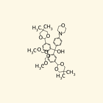 COCOc1ccc(C2OCC(C)(C)CO2)cc1C(O)(c1ccc(N2CCOCC2)cc1)c1cc(C2OCC(C)(C)CO2)ccc1OCOC